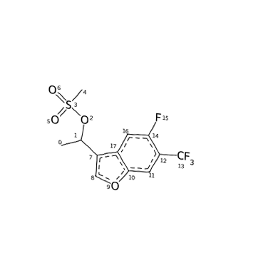 CC(OS(C)(=O)=O)c1coc2cc(C(F)(F)F)c(F)cc12